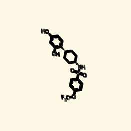 O=S(=O)(N[C@H]1CC[C@@H](c2ccc(O)cc2O)CC1)c1ccc(OC(F)(F)F)cc1